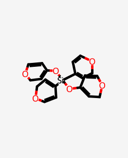 C1=CC(O[Si](OC2=CCOC=C2)(C2=CCOC=C2)C2=CCOC=C2)=CCO1